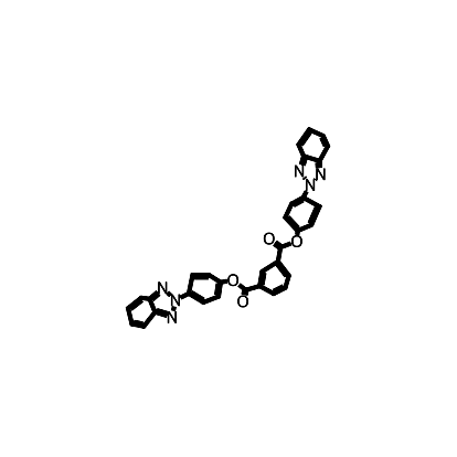 O=C(Oc1ccc(-n2nc3ccccc3n2)cc1)c1cccc(C(=O)Oc2ccc(-n3nc4ccccc4n3)cc2)c1